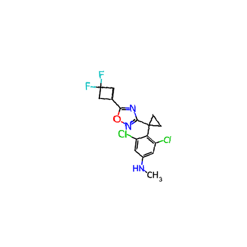 CNc1cc(Cl)c(C2(c3noc(C4CC(F)(F)C4)n3)CC2)c(Cl)c1